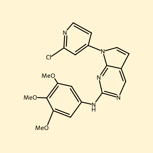 COc1cc(Nc2ncc3ccn(-c4ccnc(Cl)c4)c3n2)cc(OC)c1OC